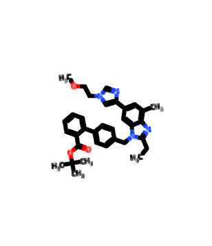 CCc1nc2c(C)cc(-c3cn(CCOC)cn3)cc2n1Cc1ccc(-c2ccccc2C(=O)OC(C)(C)C)cc1